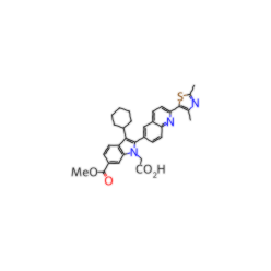 COC(=O)c1ccc2c(C3CCCCC3)c(-c3ccc4nc(-c5sc(C)nc5C)ccc4c3)n(CC(=O)O)c2c1